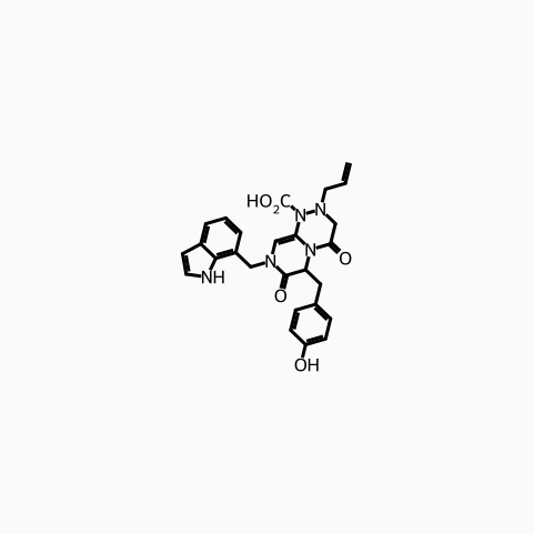 C=CCN1CC(=O)N2C(=CN(Cc3cccc4cc[nH]c34)C(=O)C2Cc2ccc(O)cc2)N1C(=O)O